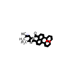 C/C(C#N)=C\c1c(C)nc2c3ccc(C4=C=C=CC=C4)c4c(C5=CC=CCC5)ccc(c(=O)n12)c43